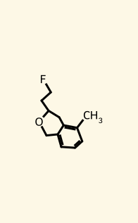 Cc1cccc2c1CC(CCF)OC2